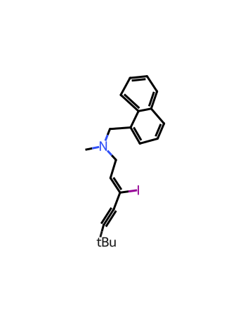 CN(CC=C(I)C#CC(C)(C)C)Cc1cccc2ccccc12